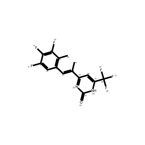 CC(=Cc1cc(F)c(F)c(F)c1C)c1cc(C(F)(F)F)[nH]c(=O)n1